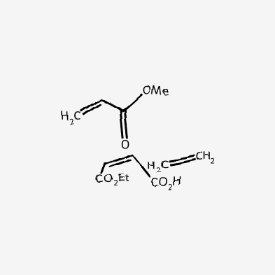 C=C.C=CC(=O)OC.CCOC(=O)/C=C\C(=O)O